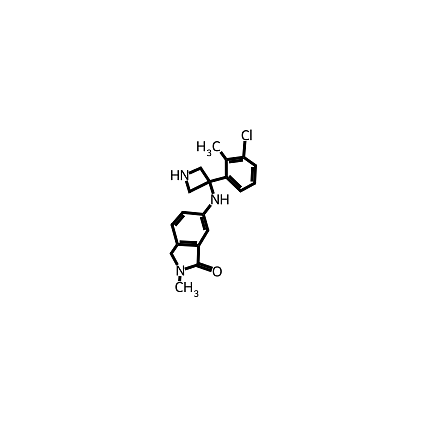 Cc1c(Cl)cccc1C1(Nc2ccc3c(c2)C(=O)N(C)C3)CNC1